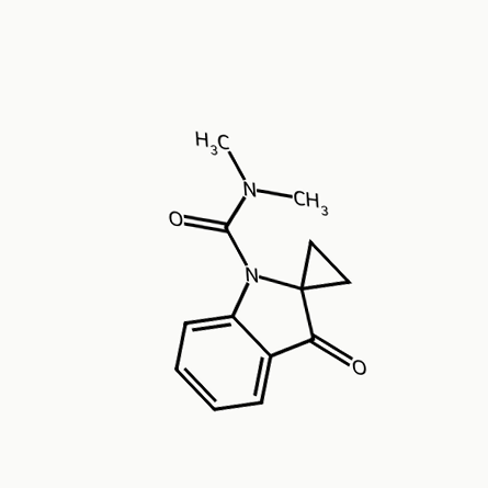 CN(C)C(=O)N1c2ccccc2C(=O)C12CC2